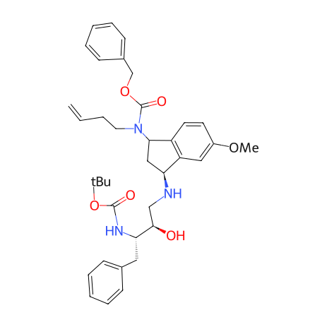 C=CCCN(C(=O)OCc1ccccc1)C1C[C@H](NC[C@@H](O)[C@H](Cc2ccccc2)NC(=O)OC(C)(C)C)c2cc(OC)ccc21